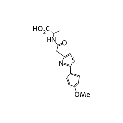 COc1ccc(-c2nc(CC(=O)N[C@@H](C)C(=O)O)cs2)cc1